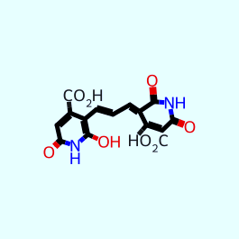 O=C1C=C(C(=O)O)/C(=C\C=C\c2c(C(=O)O)cc(=O)[nH]c2O)C(=O)N1